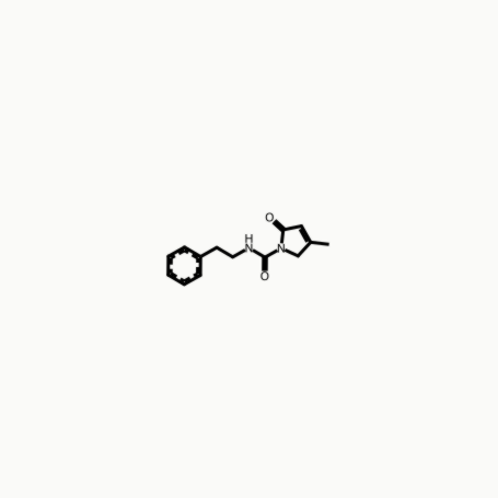 CC1=CC(=O)N(C(=O)NCCc2ccccc2)C1